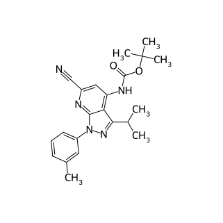 Cc1cccc(-n2nc(C(C)C)c3c(NC(=O)OC(C)(C)C)cc(C#N)nc32)c1